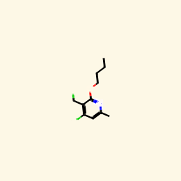 CCCCOc1nc(C)cc(Cl)c1CCl